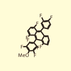 COc1c(F)c(F)c(-c2c3c(F)cccc3c(-c3ccc(F)c(F)c3)c3c(F)ccc(F)c23)c(F)c1F